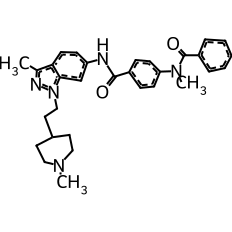 Cc1nn(CCC2CCN(C)CC2)c2cc(NC(=O)c3ccc(N(C)C(=O)c4ccccc4)cc3)ccc12